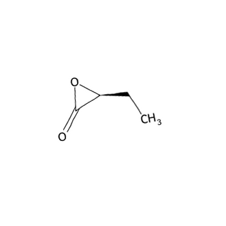 CC[C@@H]1OC1=O